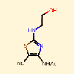 CC(=O)Nc1nc(NCCO)sc1C#N